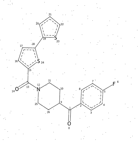 O=C(c1ccc(F)cc1)C1CCN(C(=O)c2ccc(-c3cccs3)s2)CC1